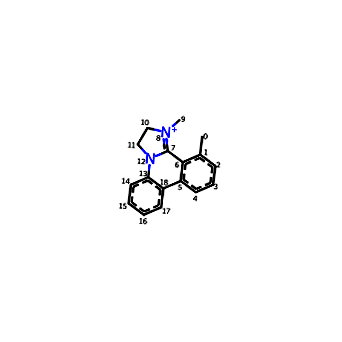 Cc1cccc2c1C1=[N+](C)CCN1c1ccccc1-2